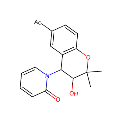 CC(=O)c1ccc2c(c1)C(n1ccccc1=O)C(O)C(C)(C)O2